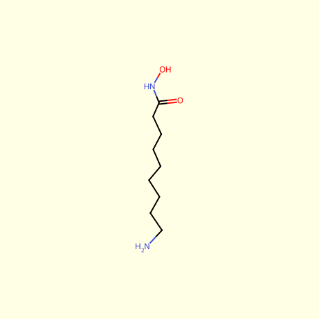 NCCCCCCCCC(=O)NO